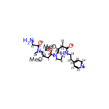 CC[C@H](C)[C@@H]([C@@H](CC(=O)N1CCC[C@H]1[C@H](OC)[C@@H](C)C(=O)NCCc1ccncc1)OC)N(C)C(=O)CN